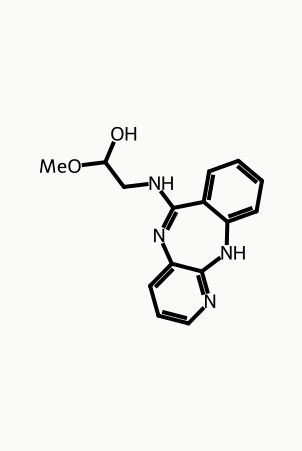 COC(O)CNC1=Nc2cccnc2Nc2ccccc21